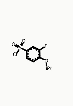 CC(C)Oc1ccc(S(=O)(=O)Cl)cc1F